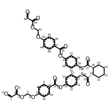 O=CC(=O)OCOc1ccc(C(=O)Oc2ccc(SC(=O)[C@H]3CCCC[C@@H]3C(=O)Sc3ccc(OC(=O)c4ccc(OCOC(=O)C=O)cc4)cc3)cc2)cc1